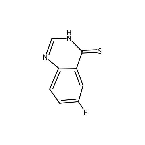 Fc1ccc2nc[nH]c(=S)c2c1